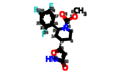 COC(=O)N1CC[C@H](c2cc(=O)[nH]o2)C[C@H]1c1cc(F)c(F)cc1F